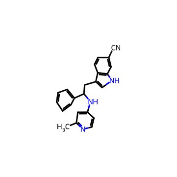 Cc1cc(NC(Cc2c[nH]c3cc(C#N)ccc23)c2ccccc2)ccn1